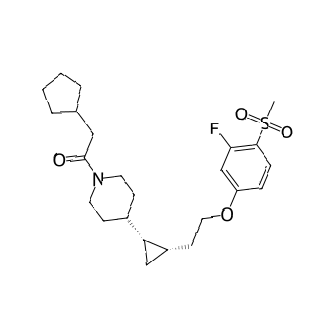 CS(=O)(=O)c1ccc(OCC[C@@H]2C[C@@H]2C2CCN(C(=O)CC3CCCC3)CC2)cc1F